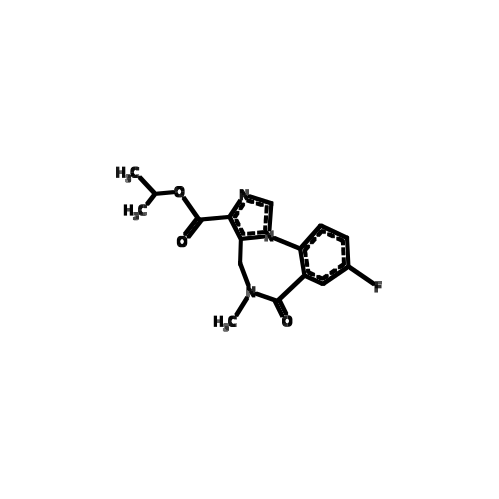 CC(C)OC(=O)c1ncn2c1CN(C)C(=O)c1cc(F)ccc1-2